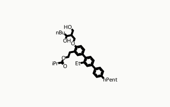 CCCCCc1ccc(-c2ccc(-c3ccc(OCC(CO)C(O)CCCC)c(CCOC(=O)C(C)C)c3)c(CC)c2)cc1